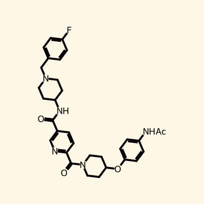 CC(=O)Nc1ccc(OC2CCN(C(=O)c3ccc(C(=O)NC4CCN(Cc5ccc(F)cc5)CC4)cn3)CC2)cc1